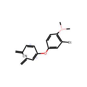 C=C/C=C(\C=C/C(=C)C#N)Oc1ccc(B(C)C)c(CC)c1